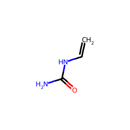 C=CNC(N)=O